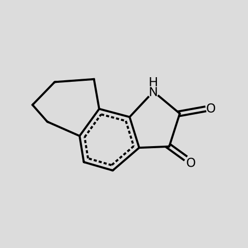 O=C1Nc2c(ccc3c2CCCC3)C1=O